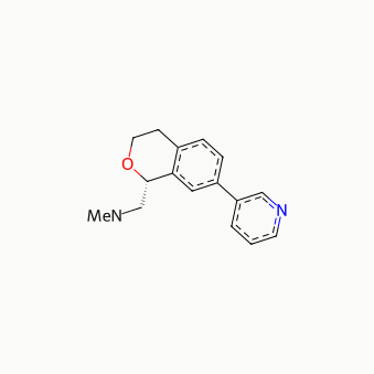 CNC[C@@H]1OCCc2ccc(-c3cccnc3)cc21